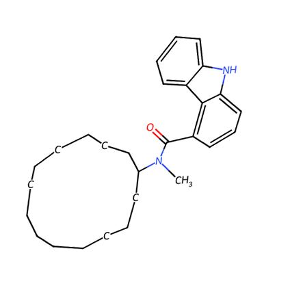 CN(C(=O)c1cccc2[nH]c3ccccc3c12)C1CCCCCCCCCCCCC1